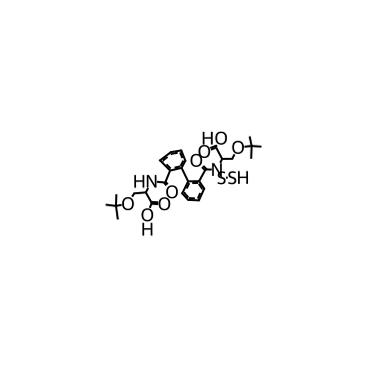 CC(C)(C)OCC(NC(=O)c1ccccc1-c1ccccc1C(=O)N(SS)C(COC(C)(C)C)C(=O)O)C(=O)O